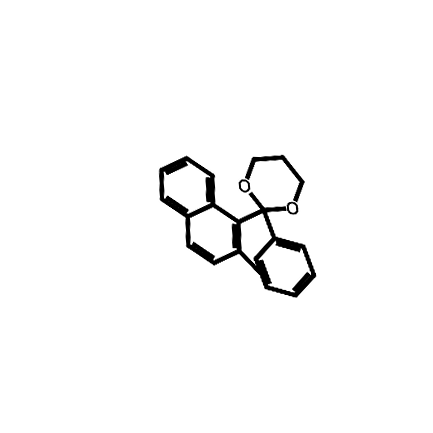 Cc1ccc2ccccc2c1C1(c2ccccc2)OCCCO1